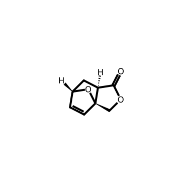 O=C1OC[C@]23C=C[C@H](C[C@@H]12)O3